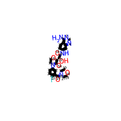 Nc1ncnc2cc(NC(=O)C(O)[C@H]3OCCN(c4ccc(F)c(C(=O)N5CCOCC5)c4)C3=O)ccc12